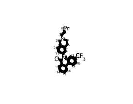 CC(C)CCN1CCc2cc(NC(=O)c3ccccc3-c3ccc(C(F)(F)F)cc3)ccc2C1